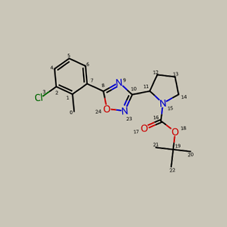 Cc1c(Cl)cccc1-c1nc(C2CCCN2C(=O)OC(C)(C)C)no1